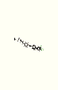 CCCCC[C@H]1CC[C@H](C#Cc2ccc(-c3ccc(Cl)c(F)c3)cc2)CC1